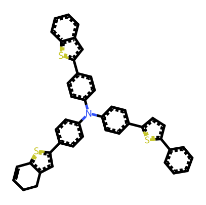 C1=Cc2sc(-c3ccc(N(c4ccc(-c5ccc(-c6ccccc6)s5)cc4)c4ccc(-c5cc6ccccc6s5)cc4)cc3)cc2CC1